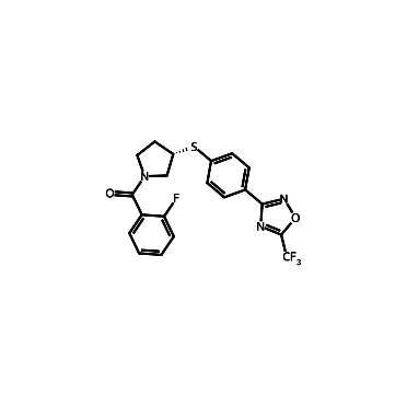 O=C(c1ccccc1F)N1CC[C@H](Sc2ccc(-c3noc(C(F)(F)F)n3)cc2)C1